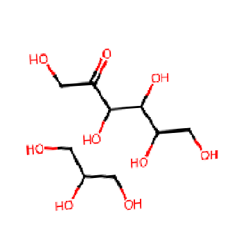 O=C(CO)C(O)C(O)C(O)CO.OCC(O)CO